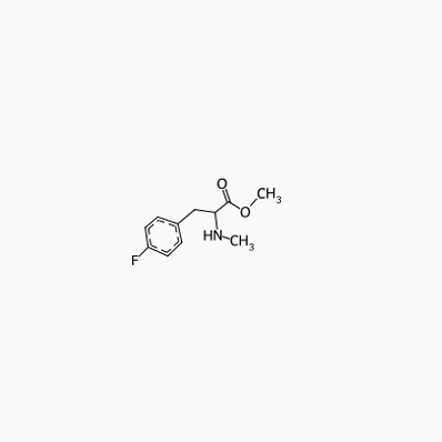 CNC(Cc1ccc(F)cc1)C(=O)OC